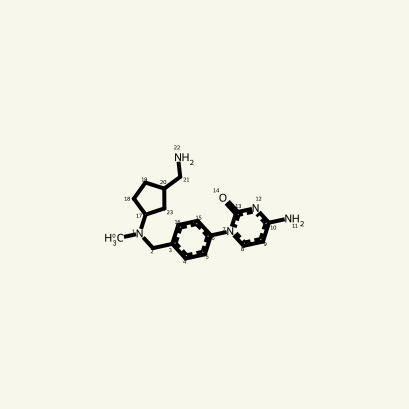 CN(Cc1ccc(-n2ccc(N)nc2=O)cc1)C1CCC(CN)C1